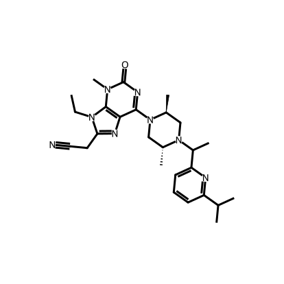 CCn1c(CC#N)nc2c(N3C[C@@H](C)N(C(C)c4cccc(C(C)C)n4)C[C@@H]3C)nc(=O)n(C)c21